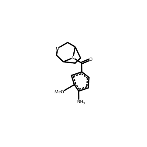 COc1cc(C(=O)N2C3CCC2COC3)ccc1N